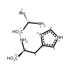 CCC(C)[C@H](N)C(=O)O.N[C@@H](Cc1c[nH]cn1)C(=O)O